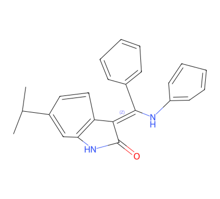 CC(C)c1ccc2c(c1)NC(=O)/C2=C(\Nc1ccccc1)c1ccccc1